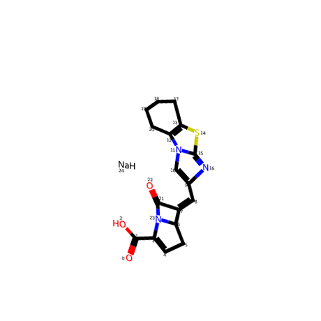 O=C(O)C1=CCC2C(=Cc3cn4c5c(sc4n3)CCCC5)C(=O)N12.[NaH]